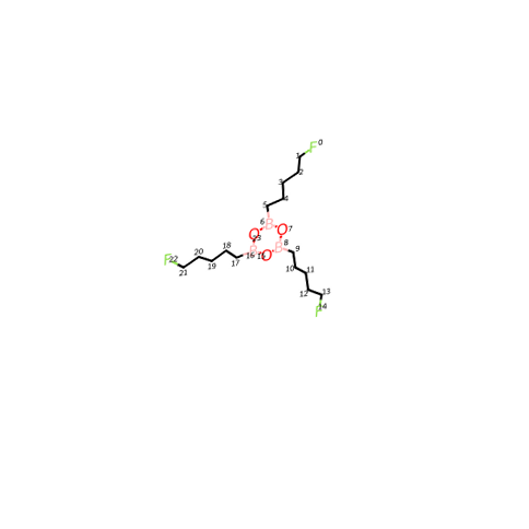 FCCCCCB1OB(CCCCCF)OB(CCCCCF)O1